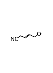 N#CCC=CC[O]